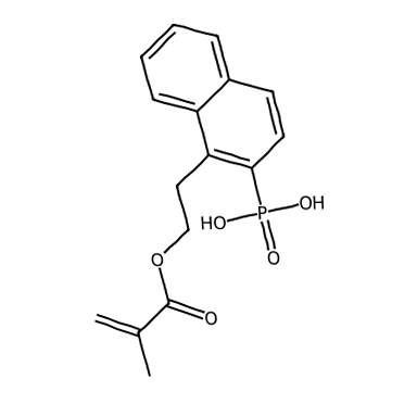 C=C(C)C(=O)OCCc1c(P(=O)(O)O)ccc2ccccc12